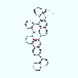 CC12C=CC=CC1c1c(cccc1-c1ccccc1N(c1cccc(-c3ccc(-c4cccc5ccccc45)cc3)c1)c1ccccc1-c1ccccc1)O2